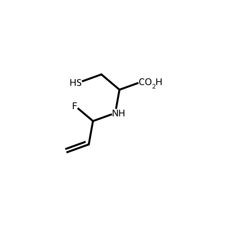 C=CC(F)NC(CS)C(=O)O